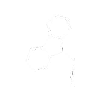 N#COC1c2ccccc2-c2ccccc21